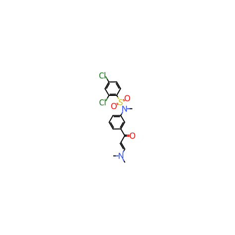 CN(C)C=CC(=O)c1cccc(N(C)S(=O)(=O)c2ccc(Cl)cc2Cl)c1